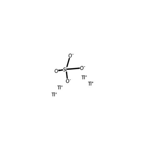 [O-][Si]([O-])([O-])[O-].[Tl+].[Tl+].[Tl+].[Tl+]